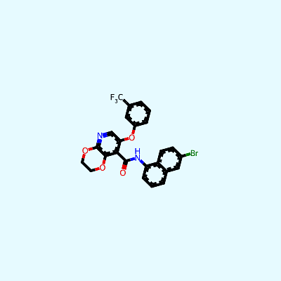 O=C(Nc1cccc2cc(Br)ccc12)c1c(Oc2cccc(C(F)(F)F)c2)cnc2c1OCCO2